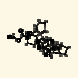 CC(C)(C)OC(=O)N1CCN(c2cnc(N3C4CCC3CN(c3cc(-c5ccccc5O)nnc3N)C4)nc2)CC1